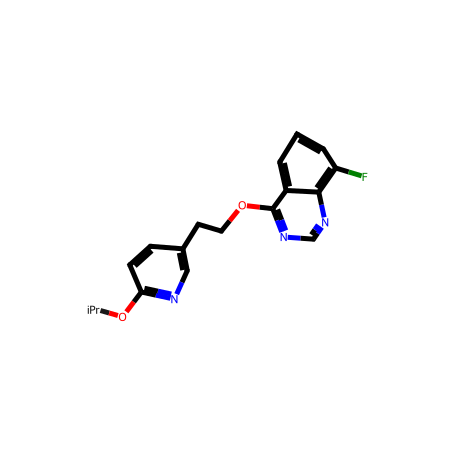 CC(C)Oc1ccc(CCOc2ncnc3c(F)cccc23)cn1